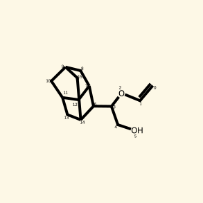 C=COC(CO)C1C2CC3CC(C2)CC1C3